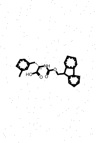 Cc1cccc(C[C@H](NC(=O)OCC2c3ccccc3-c3ccccc32)C(=O)O)c1